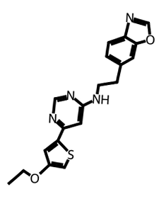 CCOc1csc(-c2cc(NCCc3ccc4ncoc4c3)ncn2)c1